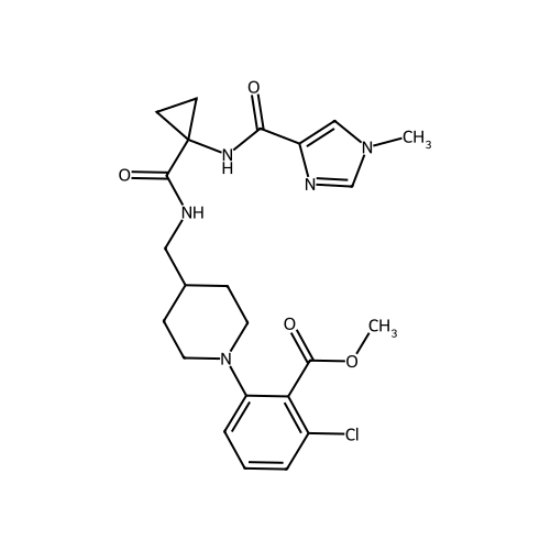 COC(=O)c1c(Cl)cccc1N1CCC(CNC(=O)C2(NC(=O)c3cn(C)cn3)CC2)CC1